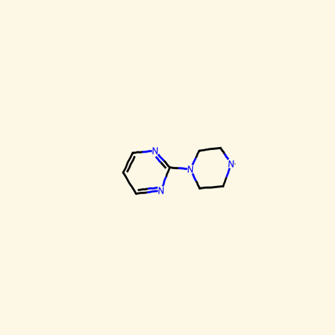 c1cnc(N2CC[N]CC2)nc1